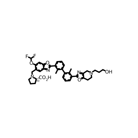 Cc1c(-c2nc3c(o2)CCN(CCCO)C3)cccc1-c1cccc(-c2nc3cc(CN4CCC[C@H]4C(=O)O)c(OC(F)F)cc3o2)c1C